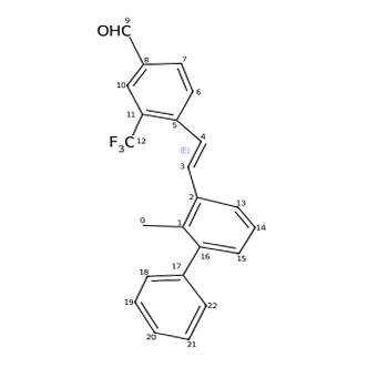 Cc1c(/C=C/c2ccc(C=O)cc2C(F)(F)F)cccc1-c1ccccc1